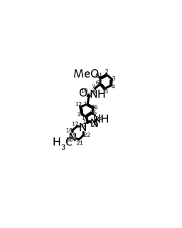 COc1ccccc1CNC(=O)c1ccc2c(N3CCN(C)CC3)n[nH]c2c1